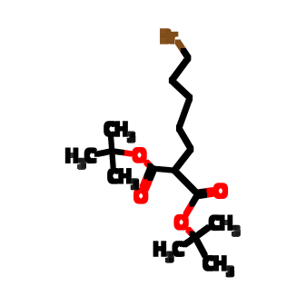 CC(C)(C)OC(=O)C(CCCCCBr)C(=O)OC(C)(C)C